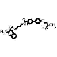 CN(C)CCOc1ccc(-c2ccc(C(=O)NCCCCn3cnc4c(N)nc5ccccc5c43)cc2)cc1